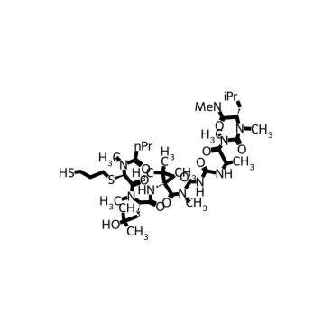 CCCC(=O)N(C)[C@H](SCCCS)C(=O)N(C)[C@@H](CC(C)(C)O)C(=O)N[C@@]1(C(=O)N(C)C(=O)NC(=O)NC(C)C(=O)N(C)C(=O)N(C)[C@@H](CC(C)C)C(=O)NC)C(C)C1(C)C